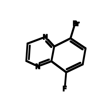 Fc1ccc(Br)c2nccnc12